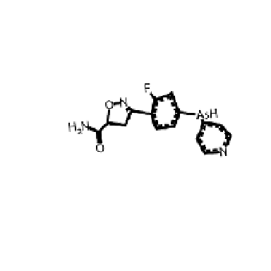 NC(=O)C1CC(c2ccc([AsH]c3ccncc3)cc2F)=NO1